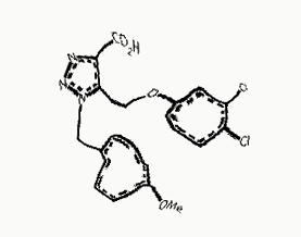 COc1ccc(Cn2nnc(C(=O)O)c2COc2ccc(Cl)c(Cl)c2)cc1